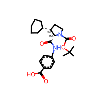 CC(C)(C)OC(=O)N1CC[C@@H](C2CCCCC2)[C@H]1C(=O)Nc1ccc(C(=O)O)cc1